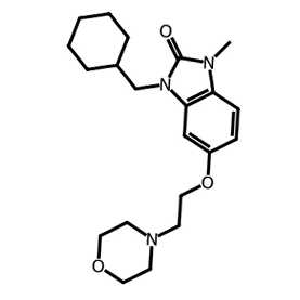 Cn1c(=O)n(CC2CCCCC2)c2cc(OCCN3CCOCC3)ccc21